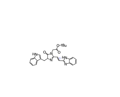 CC(C)(C)OC(=O)CN1C(=O)C(Cc2c[nH]c3ccccc23)N=C1/C=C/c1nc2ccccc2[nH]1